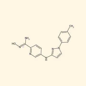 Cc1ccc(-n2ccc(Nc3ccc(/C(N)=N/O)nc3)n2)cc1